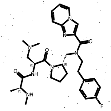 CN[C@@H](C)C(=O)N[C@@H](CN(C)C)C(=O)N1CCC[C@H]1CN(CCc1ccc(F)cc1)C(=O)c1cn2ccccc2n1